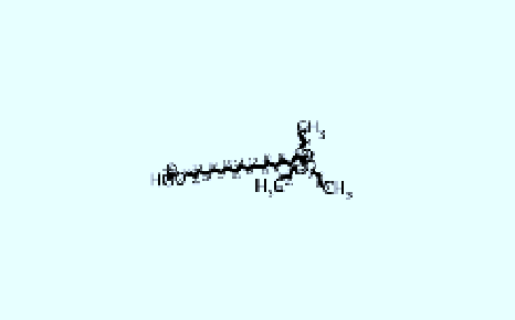 CCCCOC(CCCCCCCCCCCCCCCCC[O][Ti](=[O])[OH])(OCCCC)OCCCC